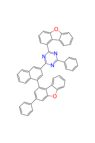 c1ccc(-c2cc(-c3cc(-c4nc(-c5ccccc5)nc(-c5cccc6oc7ccccc7c56)n4)cc4ccccc34)c3c(c2)oc2ccccc23)cc1